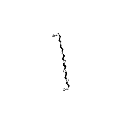 CC(C)COCCOCCOCCOCCOCCOCCOCC(C)C